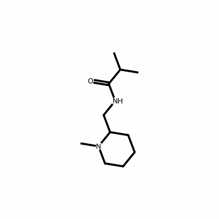 CC(C)C(=O)NCC1CCCCN1C